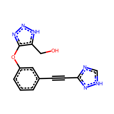 OCc1[nH]nnc1Oc1cccc(C#Cc2nc[nH]n2)c1